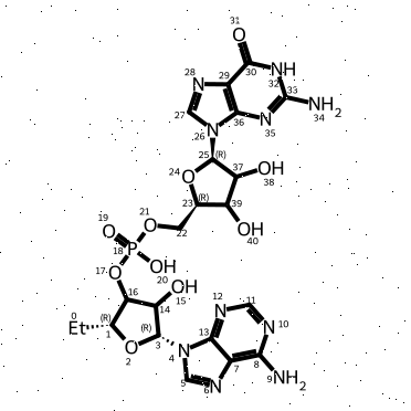 CC[C@H]1O[C@@H](n2cnc3c(N)ncnc32)C(O)C1OP(=O)(O)OC[C@H]1O[C@@H](n2cnc3c(=O)[nH]c(N)nc32)C(O)C1O